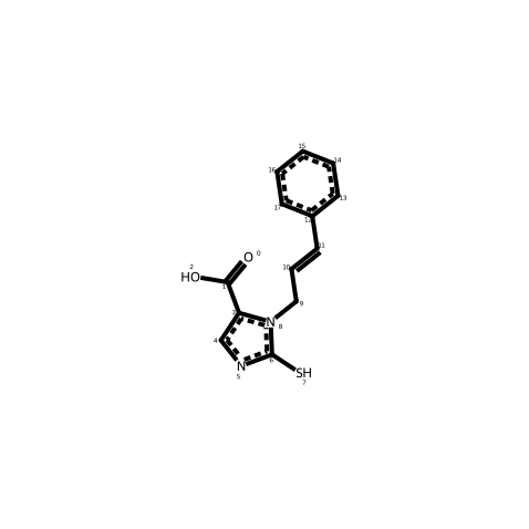 O=C(O)c1cnc(S)n1CC=Cc1ccccc1